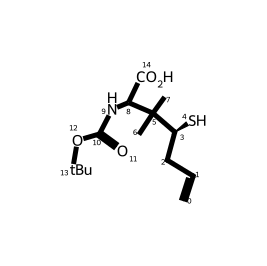 C=CC[C@H](S)C(C)(C)C(NC(=O)OC(C)(C)C)C(=O)O